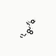 CC(C)(C)c1cc(NC(=O)C(=O)c2ccc(OCCN3CCOCC3)c3ccccc23)n(-c2ccc(F)c(Cl)c2)n1